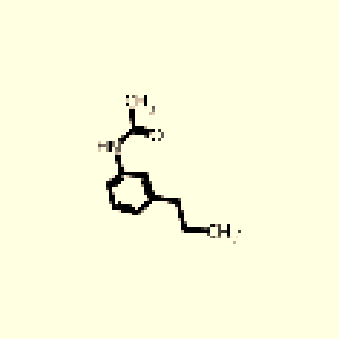 [CH2]CCc1cccc(NC(C)=O)c1